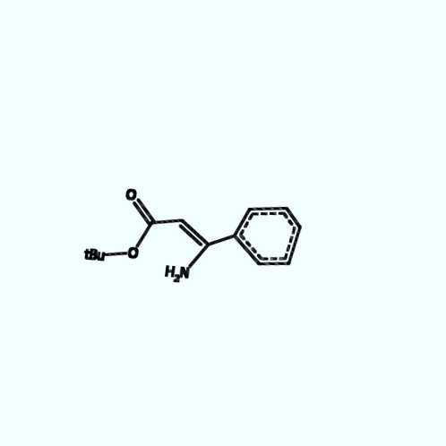 CC(C)(C)OC(=O)C=C(N)c1ccccc1